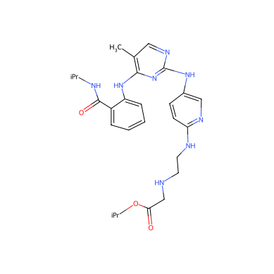 Cc1cnc(Nc2ccc(NCCNCC(=O)OC(C)C)nc2)nc1Nc1ccccc1C(=O)NC(C)C